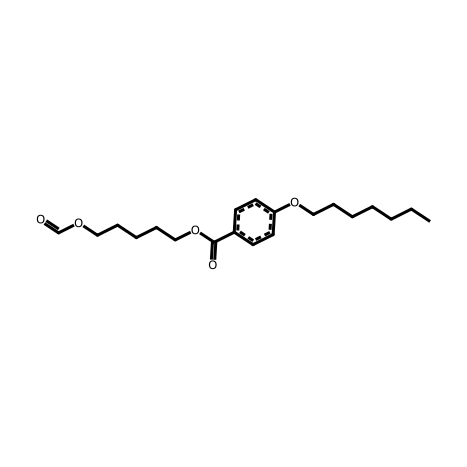 CCCCCCCOc1ccc(C(=O)OCCCCCOC=O)cc1